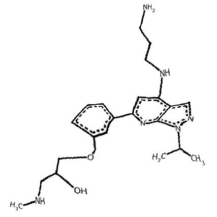 CNCC(O)COc1cccc(-c2cc(NCCCN)c3cnn(C(C)C)c3n2)c1